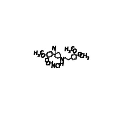 COc1ccc(CCNC2CCC(C#N)(c3ccc(OC)c(OC)c3)CC2)cc1OC.Cl